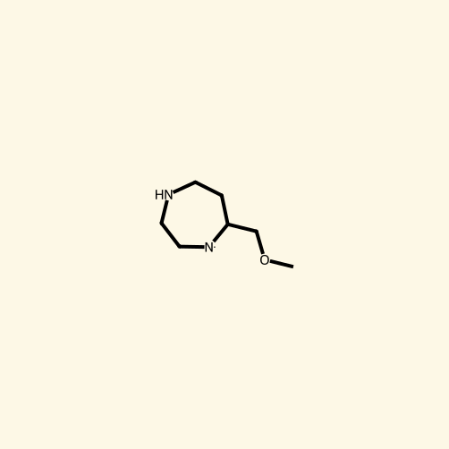 COCC1CCNCC[N]1